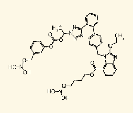 CCOc1nc2cccc(C(=O)OCCCCON(O)O)c2n1Cc1ccc(-c2ccccc2-c2nnn(C(C)OC(=O)Oc3cccc(CON(O)O)c3)n2)cc1